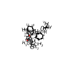 [2H]C([2H])([2H])Oc1cccc([C@@H]2NCC[C@@H]2N2[C@@H]3CC[C@H]2CN(C(=O)OC(C)(C)C)C3)c1C